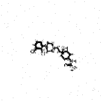 CN(C)C(=O)NC1CCC(O)(CCN2CCN(c3cccc(Cl)c3Cl)CC2)CC1